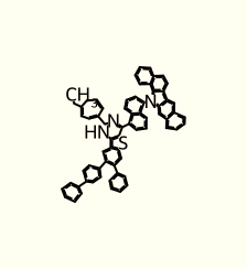 CCC1=CC=C(C2N=C(c3cccc4c(-n5c6cc7ccccc7cc6c6ccc7ccccc7c65)cccc34)c3sc4cc(-c5ccccc5)c(-c5ccc(-c6ccccc6)cc5)cc4c3N2)C=CC1